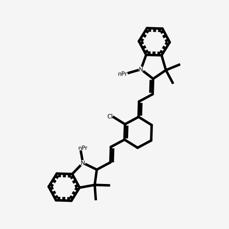 CCCN1/C(=C\C=C2/CCCC(/C=C/C3N(CCC)c4ccccc4C3(C)C)=C2Cl)C(C)(C)c2ccccc21